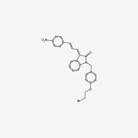 O=C1/C(=C/C=C/c2ccc([N+](=O)[O-])cc2)c2ccccc2N1Cc1ccc(OCCBr)cc1